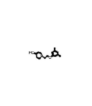 Cc1[c]c(OCCN2CCC(O)CC2)cc(C)c1